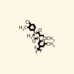 COCC(C(=O)N(C)c1ccc(Cl)c(C)c1)N(C=O)c1cc(C(F)(F)F)cc(C)n1